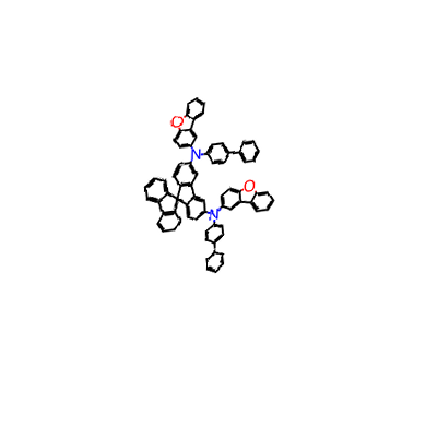 C1=CC2=C(CC1)C1(c3ccccc32)c2ccc(N(c3ccc(-c4ccccc4)cc3)c3ccc4oc5ccccc5c4c3)cc2-c2cc(N(c3ccc(-c4ccccc4)cc3)c3ccc4oc5ccccc5c4c3)ccc21